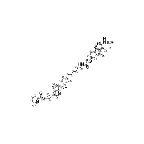 Cc1cccc(C(=O)NC2CC(n3cnc4c(NC5CCN(CCCCCCNC(=O)COc6ccc7c(c6)C(=O)N([C@H]6CCC(=O)NC6=O)C7=O)CC5)ncnc43)C2)n1